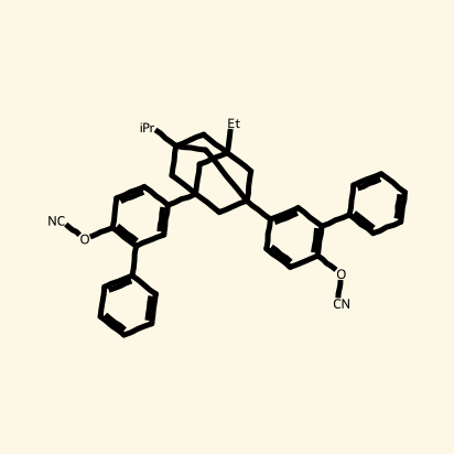 CCC12CC3(c4ccc(OC#N)c(-c5ccccc5)c4)CC(c4ccc(OC#N)c(-c5ccccc5)c4)(C1)CC(C(C)C)(C2)C3